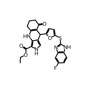 CCOC(=O)c1[nH]cc2c1NC1=C(C(=O)CCC1)C2c1ccc(Sc2nc3cc(F)ccc3[nH]2)o1